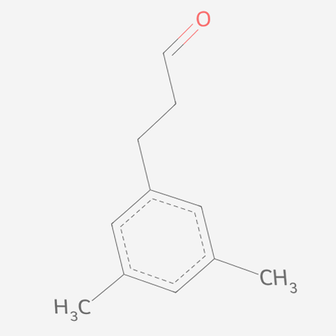 Cc1cc(C)cc(CCC=O)c1